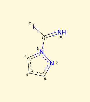 N=C(I)n1cccn1